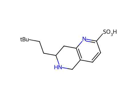 CC(C)(C)CCC1Cc2nc(S(=O)(=O)O)ccc2CN1